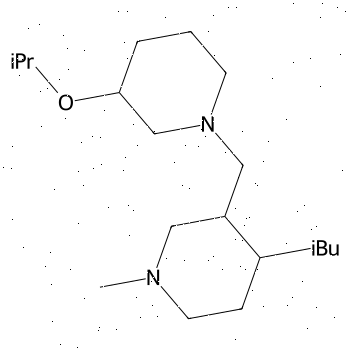 CCC(C)C1CCN(C)CC1CN1CCCC(OC(C)C)C1